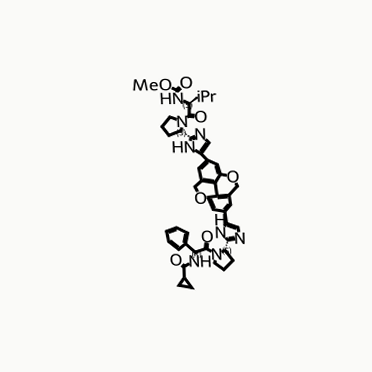 COC(=O)N[C@H](C(=O)N1CCC[C@H]1c1ncc(-c2cc3c4c(c2)OCc2cc(-c5cnc([C@@H]6CCCN6C(=O)[C@H](NC(=O)C6CC6)c6ccccc6)[nH]5)cc(c2-4)OC3)[nH]1)C(C)C